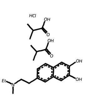 CC(C)C(=O)O.CC(C)C(=O)O.CCN(C)CCc1ccc2cc(O)c(O)cc2c1.Cl